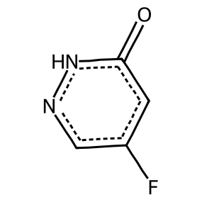 O=c1cc(F)cn[nH]1